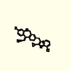 N#CC=C1c2ccc(Cc3c(C4CC4)nc4c(Cl)cccn34)cc2COc2cc(F)ccc21